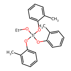 CC[O][Ti]([O]c1ccccc1C)([O]c1ccccc1C)[O]c1ccccc1C